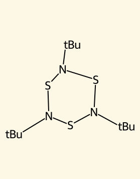 CC(C)(C)N1SN(C(C)(C)C)SN(C(C)(C)C)S1